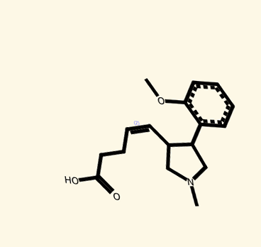 COc1ccccc1C1CN(C)CC1/C=C\CCC(=O)O